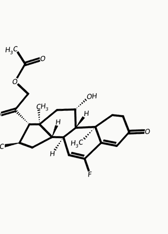 CC(=O)OCC(=O)[C@H]1[C@H](C)C[C@H]2[C@@H]3C=C(F)C4=CC(=O)CC[C@]4(C)[C@H]3[C@@H](O)C[C@@]21C